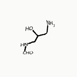 NCC(O)CN[C]=O